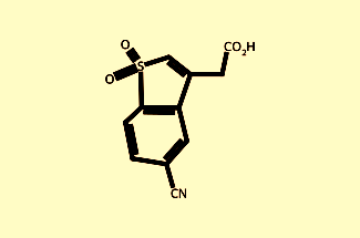 N#Cc1ccc2c(c1)C(CC(=O)O)=CS2(=O)=O